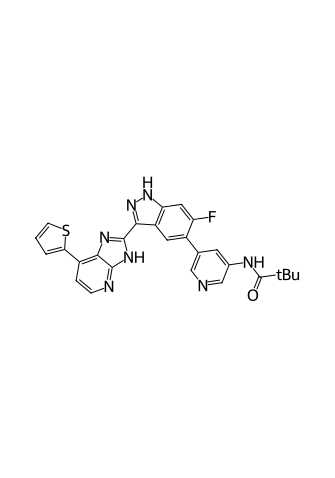 CC(C)(C)C(=O)Nc1cncc(-c2cc3c(-c4nc5c(-c6cccs6)ccnc5[nH]4)n[nH]c3cc2F)c1